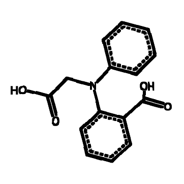 O=C(O)CN(c1ccccc1)c1ccccc1C(=O)O